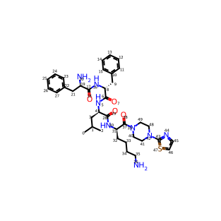 CC(C)C[C@@H](NC(=O)[C@@H](Cc1ccccc1)NC(=O)[C@H](N)Cc1ccccc1)C(=O)N[C@H](CCCCN)C(=O)N1CCN(c2nccs2)CC1